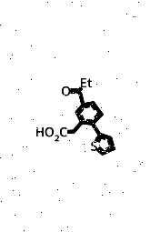 CCC(=O)c1ccc(-c2cccs2)c(CC(=O)O)c1